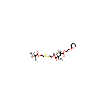 CC(C)(Br)C(=O)OCCSSCCOC(=O)C(C)(C)CC(C)(Br)C(=O)OCCOC1CCCCO1